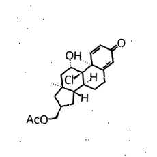 CC(=O)OC[C@@H]1C[C@H]2[C@@H]3CCC4=CC(=O)C=C[C@]4(C)[C@@]3(Cl)[C@@H](O)C[C@]2(C)C1